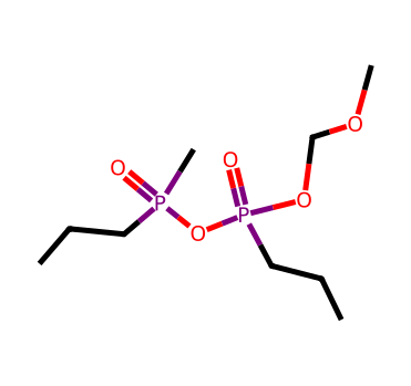 CCCP(C)(=O)OP(=O)(CCC)OCOC